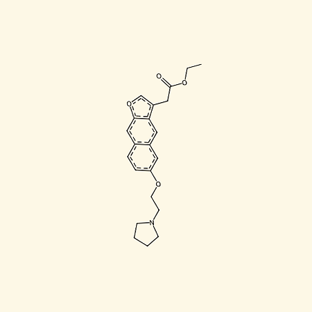 CCOC(=O)Cc1coc2cc3ccc(OCCN4CCCC4)cc3cc12